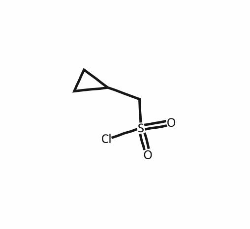 O=S(=O)(Cl)CC1CC1